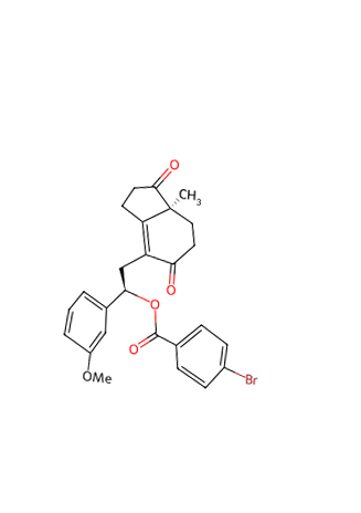 COc1cccc([C@@H](CC2=C3CCC(=O)[C@@]3(C)CCC2=O)OC(=O)c2ccc(Br)cc2)c1